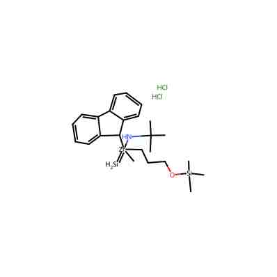 CC(C)(C)[NH][Zr]([CH3])(=[SiH2])([CH2]CCO[Si](C)(C)C)[CH]1c2ccccc2-c2ccccc21.Cl.Cl